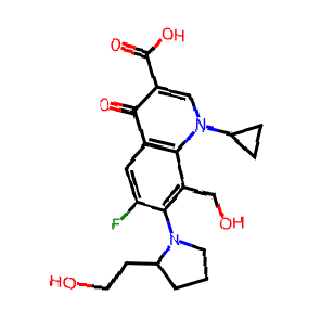 O=C(O)c1cn(C2CC2)c2c(CO)c(N3CCCC3CCO)c(F)cc2c1=O